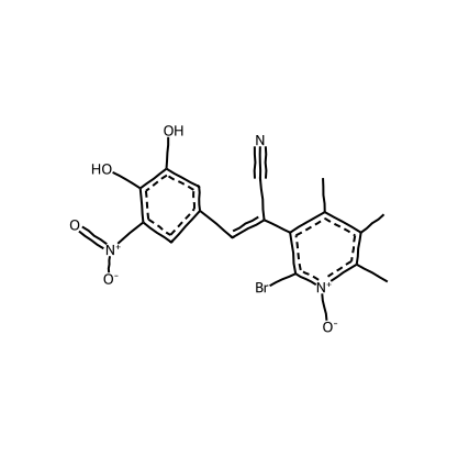 Cc1c(C)c(C)[n+]([O-])c(Br)c1C(C#N)=Cc1cc(O)c(O)c([N+](=O)[O-])c1